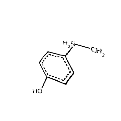 C[SiH2]c1ccc(O)cc1